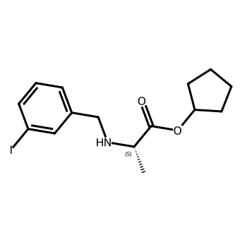 C[C@H](NCc1cccc(I)c1)C(=O)OC1CCCC1